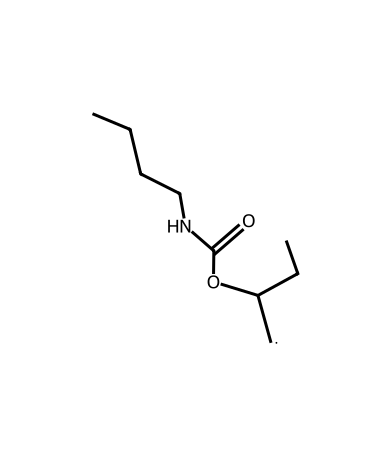 [CH2]C(CC)OC(=O)NCCCC